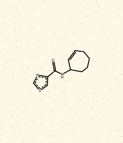 O=C(NC1C=CCCCC1)c1cscn1